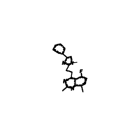 Cc1nc(CCc2nc(-c3ccccc3)cn2C)c2c(F)ccc(C)c2n1